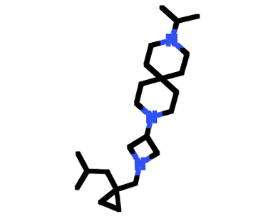 CC(C)CC1(CN2CC(N3CCC4(CCN(C(C)C)CC4)CC3)C2)CC1